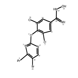 CC(C)c1nc(Oc2c(Cl)cc(C(=N)NO)cc2Cl)ncc1Br